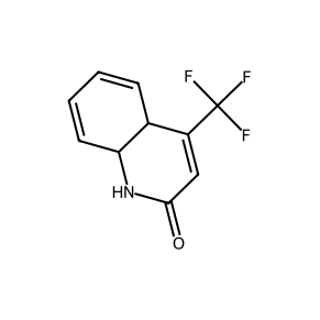 O=C1C=C(C(F)(F)F)C2C=CC=CC2N1